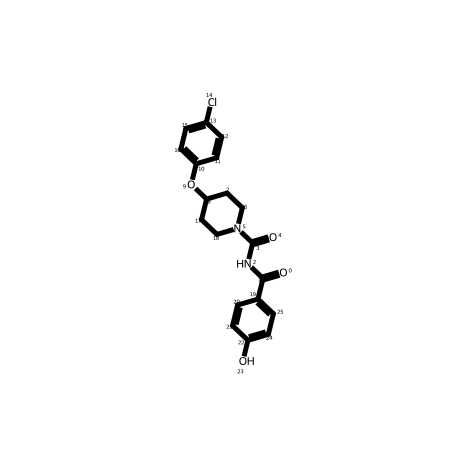 O=C(NC(=O)N1CCC(Oc2ccc(Cl)cc2)CC1)c1ccc(O)cc1